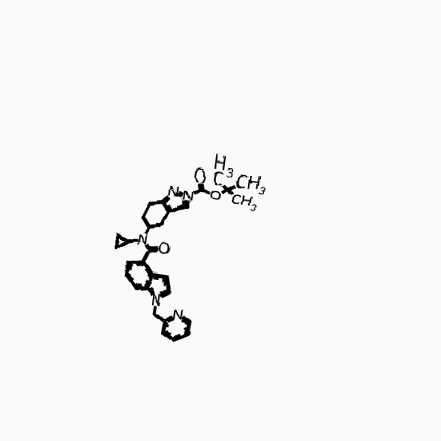 CC(C)(C)OC(=O)n1cc2c(n1)CCC(N(C(=O)c1cccc3c1ccn3Cc1ccccn1)C1CC1)C2